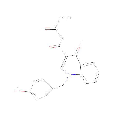 CCOC(=O)C(=O)CC(=O)c1cn(Cc2ccc(O)cc2)c2ccccc2c1=O